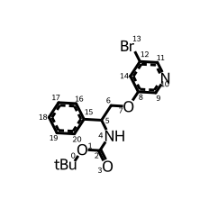 CC(C)(C)OC(=O)NC(COc1cncc(Br)c1)c1ccccc1